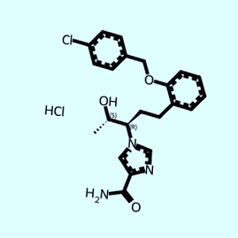 C[C@H](O)[C@@H](CCc1ccccc1OCc1ccc(Cl)cc1)n1cnc(C(N)=O)c1.Cl